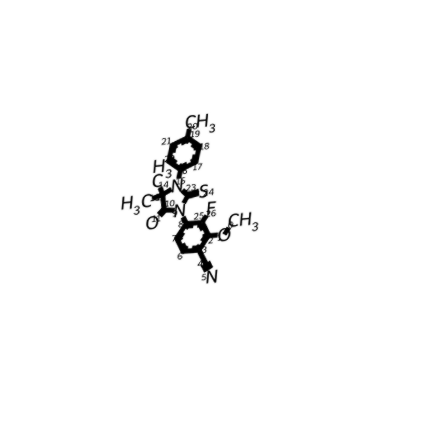 COc1c(C#N)ccc(N2C(=O)C(C)(C)N(c3ccc(C)cc3)C2=S)c1F